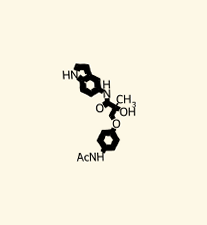 CC(=O)Nc1ccc(OC[C@](C)(O)C(=O)Nc2ccc3[nH]ccc3c2)cc1